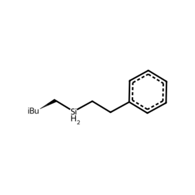 CC[C@H](C)C[SiH2]CCc1ccccc1